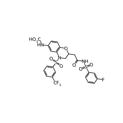 O=C(O)Nc1ccc2c(c1)N(S(=O)(=O)c1cccc(C(F)(F)F)c1)CC(CC(=O)NS(=O)(=O)c1cccc(F)c1)O2